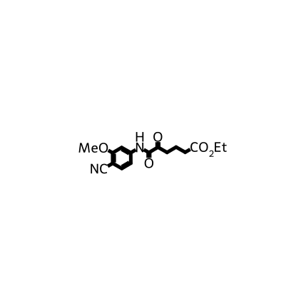 CCOC(=O)CCCC(=O)C(=O)Nc1ccc(C#N)c(OC)c1